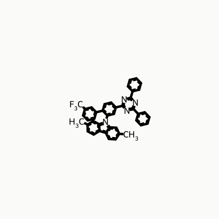 Cc1ccc2c3ccc(C)cc3n(-c3cc(-c4nc(-c5ccccc5)nc(-c5ccccc5)n4)ccc3-c3cccc(C(F)(F)F)c3)c2c1